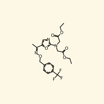 CCOC(=O)CN(CC(=O)OCC)c1ncc(C(C)=NOCc2ccc(C(F)(F)F)cc2)o1